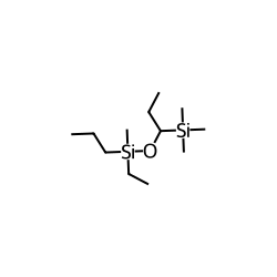 CCC[Si](C)(CC)OC(CC)[Si](C)(C)C